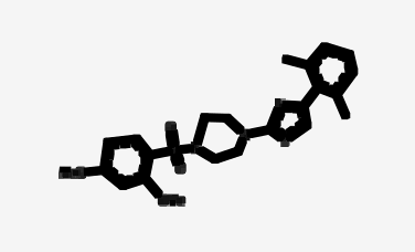 COc1ccc(S(=O)(=O)N2CCN(c3nc(-c4c(C)cccc4C)cs3)CC2)c(OC)c1